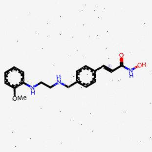 COc1ccccc1NCCNCc1ccc(/C=C/C(=O)NO)cc1